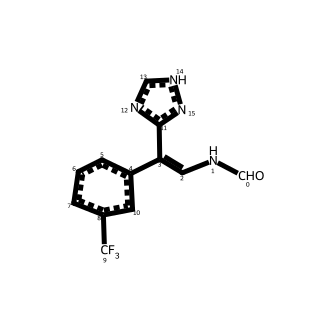 O=CN/C=C(/c1cccc(C(F)(F)F)c1)c1nc[nH]n1